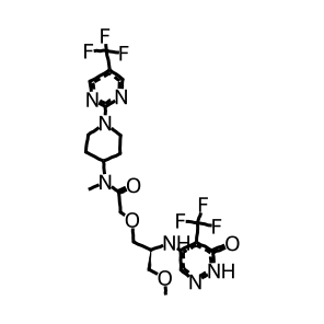 COC[C@@H](COCC(=O)N(C)C1CCN(c2ncc(C(F)(F)F)cn2)CC1)Nc1cn[nH]c(=O)c1C(F)(F)F